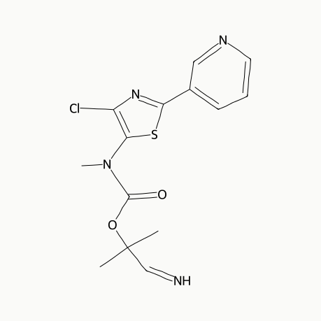 CN(C(=O)OC(C)(C)C=N)c1sc(-c2cccnc2)nc1Cl